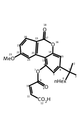 CCCCCCC(C)(C)c1cc(OC(=O)/C=C\C(=O)O)c2c(c1)oc(=O)c1ccc(OC)cc12